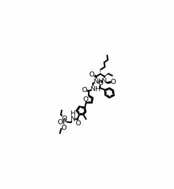 CCCCC[C@@H](C(=O)NCNC(=O)c1ccc(-c2ccc(C(=O)NCP(=O)(OCC)OCC)c(C)c2)o1)[C@@H](CC)N(C=O)OCc1ccccc1